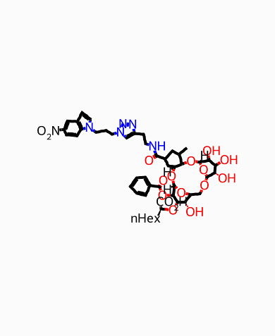 CCCCCC[C@H](OC1C(OC(=O)c2ccccc2)[C@H]2OC(COC3O[C@@H](OC4C(C)CC(C(=O)NCCc5cn(CCCn6ccc7cc([N+](=O)[O-])ccc76)nn5)C[C@H]4O2)C(O)C(O)[C@@H]3O)[C@@H]1O)C(=O)O